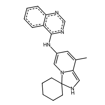 CC1=CC(Nc2ncnc3ccccc23)=CN2C1=CNC21CCCCC1